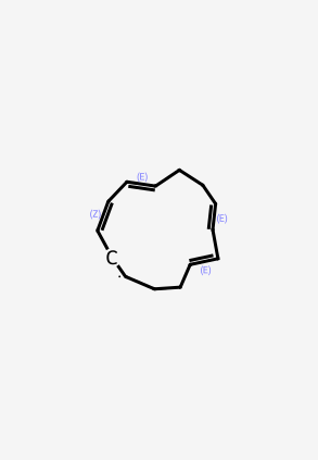 [CH]1C/C=C\C=C\CC/C=C/C=C/CC1